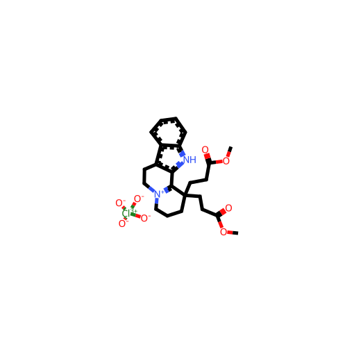 COC(=O)CCC1(CCC(=O)OC)CCC[N+]2=C1c1[nH]c3ccccc3c1CC2.[O-][Cl+3]([O-])([O-])[O-]